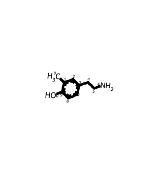 Cc1cc(CCN)ccc1O